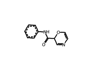 O=C(Nc1ccccc1)C1C=NC=CO1